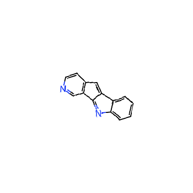 C1=C2C(=Nc3ccccc32)c2cnccc21